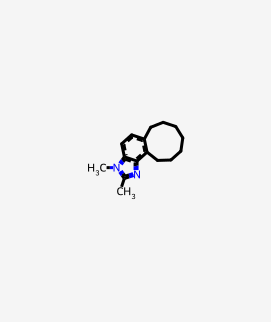 Cc1nc2c3c(ccc2n1C)CCCCCCC3